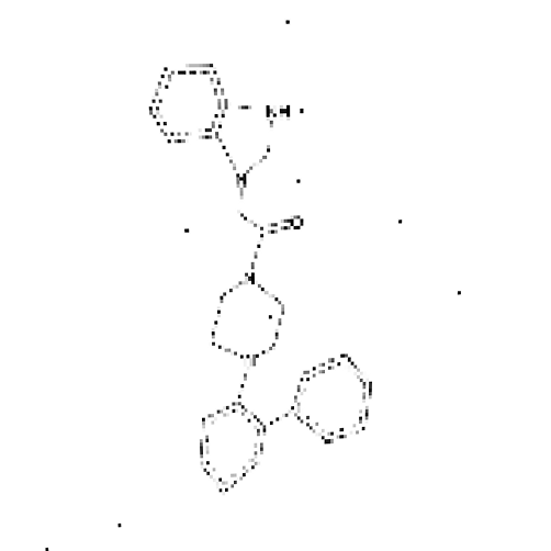 O=C(CN1CNc2ccccc21)N1CCN(c2ccccc2-c2ccccc2)CC1